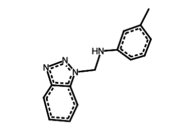 Cc1cccc(NCn2nnc3ccccc32)c1